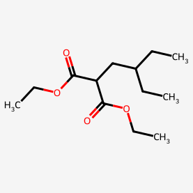 CCOC(=O)C(CC(CC)CC)C(=O)OCC